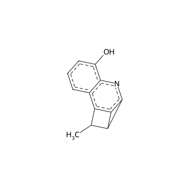 CC1c2c3c(nc4c(O)cccc24)C31